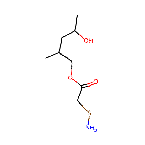 CC(O)CC(C)COC(=O)CSN